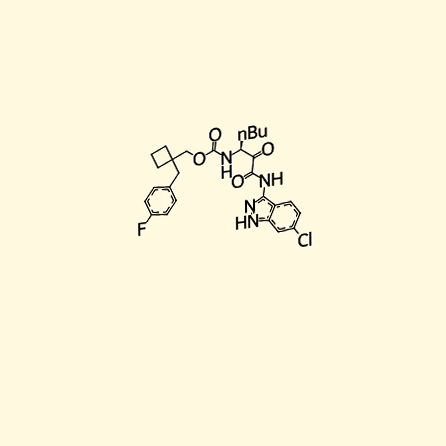 CCCC[C@H](NC(=O)OCC1(Cc2ccc(F)cc2)CCC1)C(=O)C(=O)Nc1n[nH]c2cc(Cl)ccc12